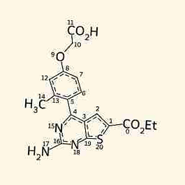 CCOC(=O)c1cc2c(-c3ccc(OCC(=O)O)cc3C)nc(N)nc2s1